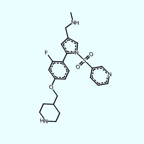 CNCc1cc(-c2ccc(OCC3CCNCC3)cc2F)n(S(=O)(=O)c2cccnc2)c1